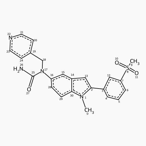 Cn1c(-c2cccc(S(C)(=O)=O)c2)cc2cc(N(Cc3ccncc3)C(N)=O)ccc21